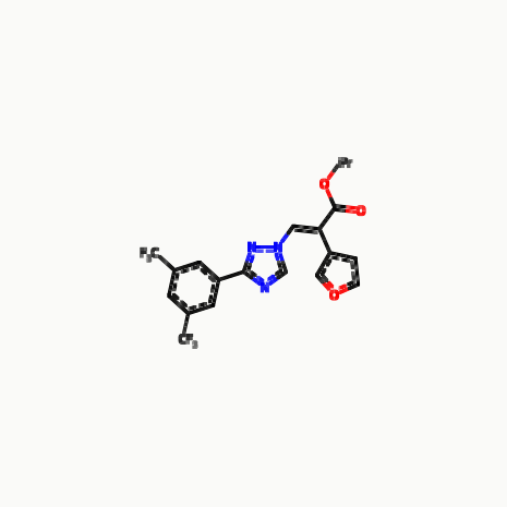 CC(C)OC(=O)/C(=C/n1cnc(-c2cc(C(F)(F)F)cc(C(F)(F)F)c2)n1)c1ccoc1